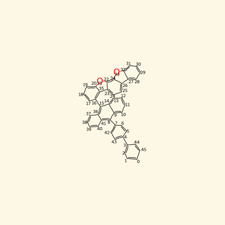 c1ccc(-c2ccc(-c3c4ccccc4c(-c4cccc5oc6c(ccc7c8ccccc8oc76)c45)c4ccccc34)cc2)cc1